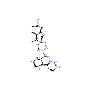 C[C@@H](c1ccc(F)cc1)C1(C#N)CCN(C(=O)c2cccnc2-c2ccncn2)CC1